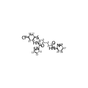 O=C(CCCCC(NC(=O)N1CC=CS1)Sc1ccc(Cl)cc1)Nc1ccccn1